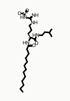 CCCCCCCCCCCCC(=O)N[C@@H](CCCNC(=N)N[N+](=O)[O-])C(=O)NCCC(C)C